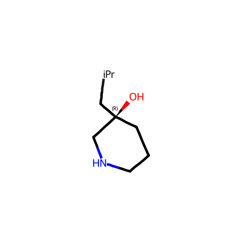 CC(C)C[C@]1(O)CCCNC1